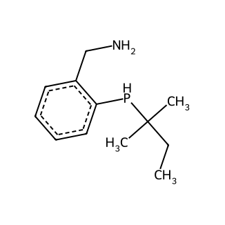 CCC(C)(C)Pc1ccccc1CN